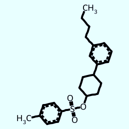 CCCCc1cccc(C2CCC(OS(=O)(=O)c3ccc(C)cc3)CC2)c1